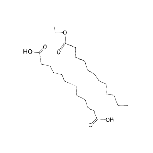 CCCCCCCCCCCC(=O)OCC.O=C(O)CCCCCCCCCCC(=O)O